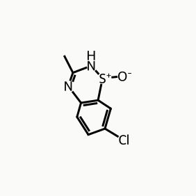 CC1=Nc2ccc(Cl)cc2[S+]([O-])N1